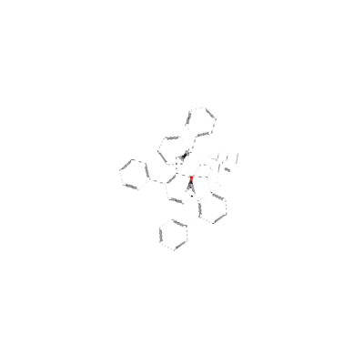 [CH2]=[Zr]([CH3])([CH3])([Cl])([Cl])([CH]1C(c2ccccc2)=Cc2c(-c3ccccc3)cccc21)[CH]1C(c2ccccc2)=Cc2c(-c3ccccc3)cccc21